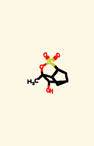 CC12OS(=O)(=O)C3CC(CC31)C2O